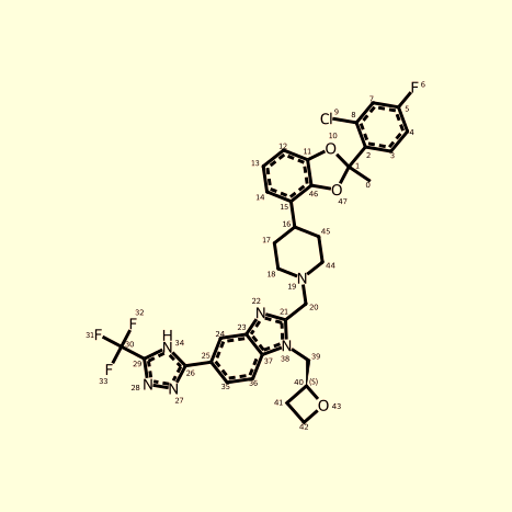 CC1(c2ccc(F)cc2Cl)Oc2cccc(C3CCN(Cc4nc5cc(-c6nnc(C(F)(F)F)[nH]6)ccc5n4C[C@@H]4CCO4)CC3)c2O1